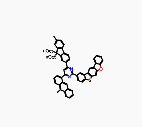 CCCCCCCCC1(CCCCCCCC)c2cc(C)ccc2-c2ccc(-c3cc(-c4cccc5c(C)c6ccccc6cc45)nc(-c4ccc5sc6cc7oc8ccccc8c7cc6c5c4)n3)cc21